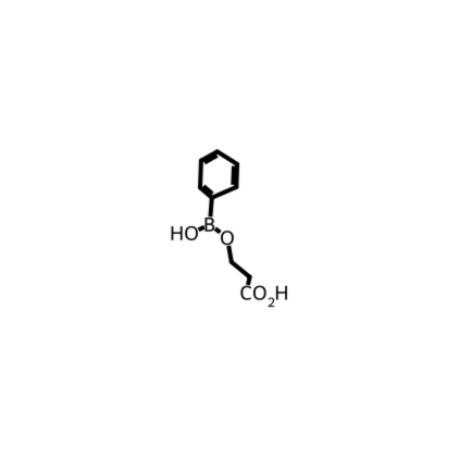 O=C(O)CCOB(O)c1ccccc1